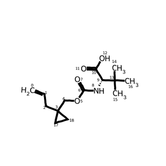 C=CCC1(COC(=O)N[C@H](C(=O)O)C(C)(C)C)CC1